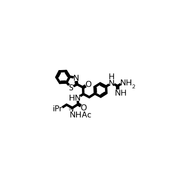 CC(=O)N[C@H](CC(C)C)C(=O)NC(Cc1ccc(NC(=N)N)cc1)C(=O)c1nc2ccccc2s1